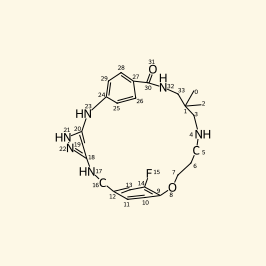 CC1(C)CNCCCOc2ccc(cc2F)CNc2cc([nH]n2)Nc2ccc(cc2)C(=O)NC1